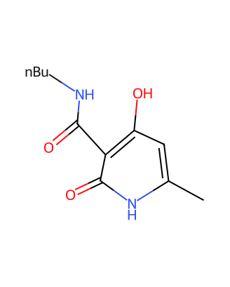 CCCCNC(=O)c1c(O)cc(C)[nH]c1=O